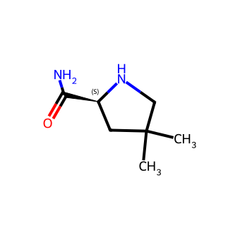 CC1(C)CN[C@H](C(N)=O)C1